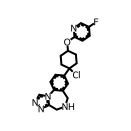 Fc1ccc(OC2CCC(Cl)(c3ccc4c(c3)CNCc3nncn3-4)CC2)nc1